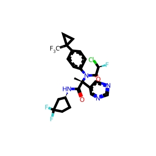 C[C@](C(=O)N[C@@H]1CCC(F)(F)C1)(c1cncnc1)N(C(=O)[C@H](F)Cl)c1ccc(C2(C(F)(F)F)CC2)cc1